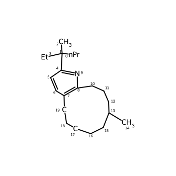 CCCC(C)(CC)c1ccc2c(n1)CCCC(C)CCCCC2